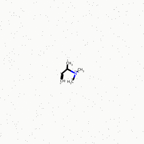 [CH]=CC(C)N(C)C